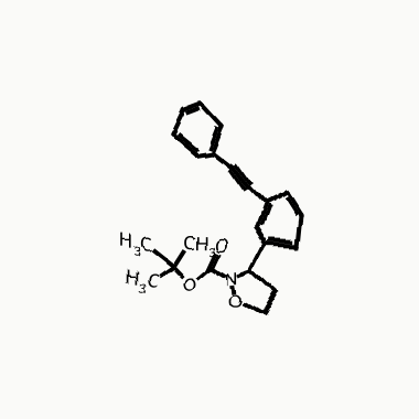 CC(C)(C)OC(=O)N1OCCC1c1cccc(C#Cc2ccccc2)c1